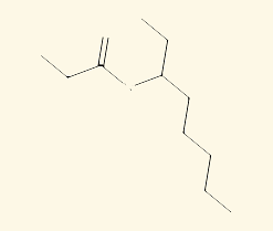 CCCCCC(CC)NC(=O)CC